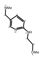 CNCc1ccc(NCCOC)nc1